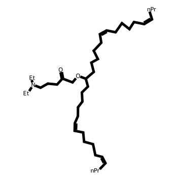 CCC/C=C\CCCC/C=C\CCCCCC(CCCCC/C=C\CCCC/C=C\CCC)OCC(=O)CCCN(CC)CC